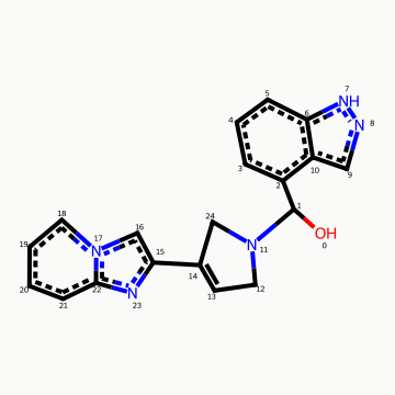 OC(c1cccc2[nH]ncc12)N1CC=C(c2cn3ccccc3n2)C1